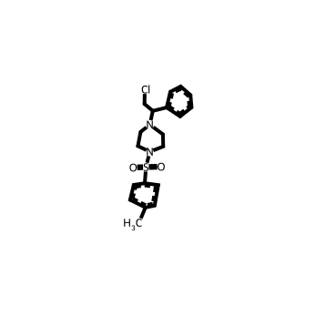 Cc1ccc(S(=O)(=O)N2CCN(C(CCl)c3ccccc3)CC2)cc1